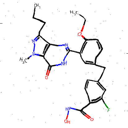 CCCc1nn(C)c2c(=O)[nH]c(-c3cc(Cc4ccc(C(=O)NO)c(F)c4)ccc3OCC)nc12